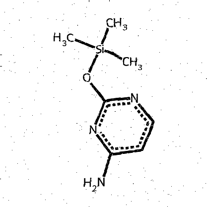 C[Si](C)(C)Oc1nccc(N)n1